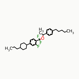 CCCCCc1ccc(C(C)OC(F)(F)c2ccc(C3CCC(CCC)CC3)cc2F)cc1